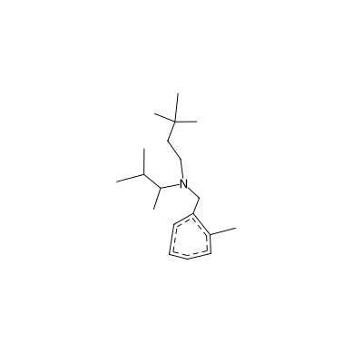 Cc1ccccc1CN(CCC(C)(C)C)C(C)C(C)C